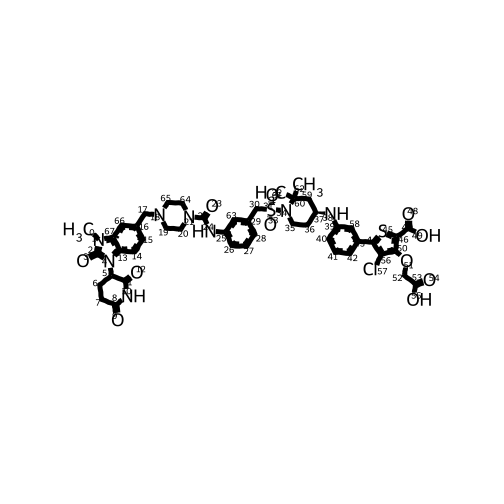 Cn1c(=O)n(C2CCC(=O)NC2=O)c2ccc(CN3CCN(C(=O)Nc4cccc(CS(=O)(=O)N5CC[C@H](Nc6cccc(-c7sc(C(=O)O)c(OCC(=O)O)c7Cl)c6)CC5(C)C)c4)CC3)cc21